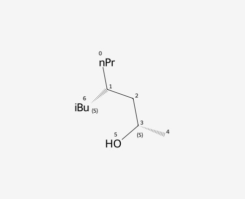 CCCC(C[C@H](C)O)[C@@H](C)CC